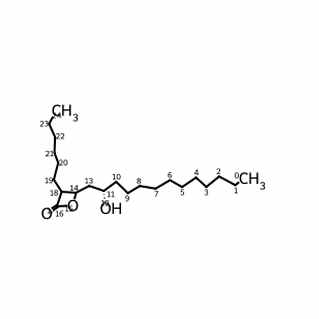 CCCCCCCCCCC[C@H](O)CC1OC(=O)C1CCCCCC